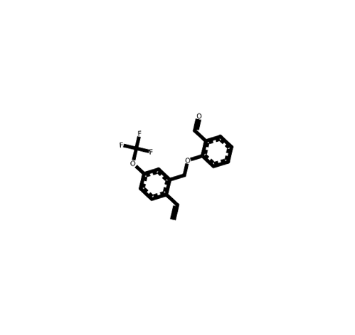 C=Cc1ccc(OC(F)(F)F)cc1COc1ccccc1C=O